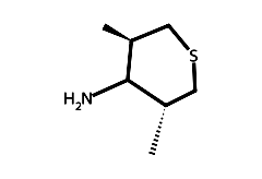 C[C@H]1CSC[C@H](C)C1N